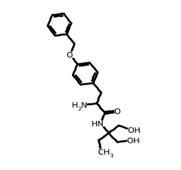 CCC(CO)(CO)NC(=O)C(N)Cc1ccc(OCc2ccccc2)cc1